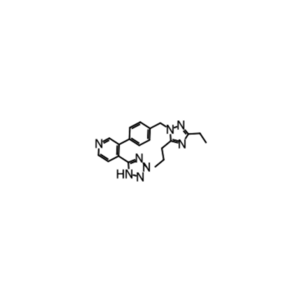 CCCc1nc(CC)nn1Cc1ccc(-c2cnccc2-c2nnn[nH]2)cc1